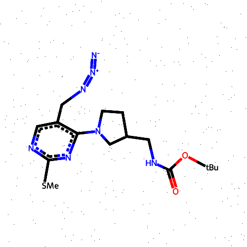 CSc1ncc(CN=[N+]=[N-])c(N2CCC(CNC(=O)OC(C)(C)C)C2)n1